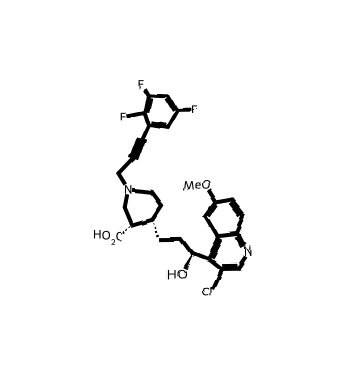 COc1ccc2ncc(Cl)c([C@@H](O)CC[C@H]3CCN(CC#Cc4cc(F)cc(F)c4F)C[C@H]3C(=O)O)c2c1